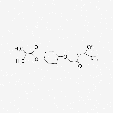 C=C(C)C(=O)OC1CCC(OCC(=O)OC(C(F)(F)F)C(F)(F)F)CC1